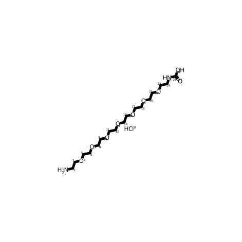 Cl.NCCOCCOCCOCCOCCOCCOCCOCCNC(=O)O